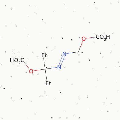 CCC(CC)(N=NCOC(=O)O)OC(=O)O